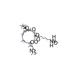 CONNCCCCCC(=O)O[C@H]1CC(=O)O[C@H](/C(C)=C/c2csc(C)n2)C/C=C(/C)C/C=C\[C@H](C)[C@H](O[Si](C)(C)C(C)(C)C)[C@@H](C)C(=O)C1(C)C